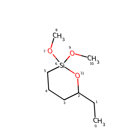 CCC1CCC[Si](OC)(OC)O1